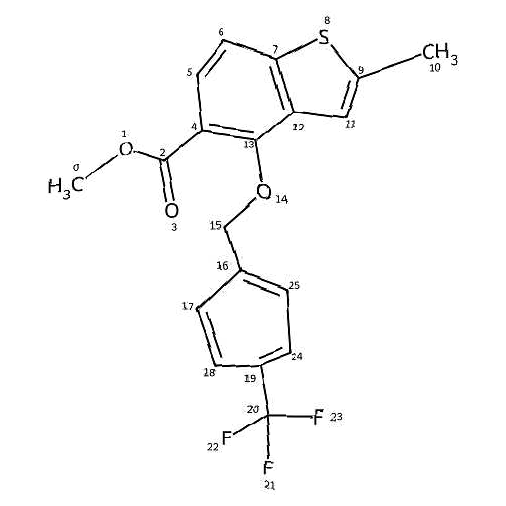 COC(=O)c1ccc2sc(C)cc2c1OCc1ccc(C(F)(F)F)cc1